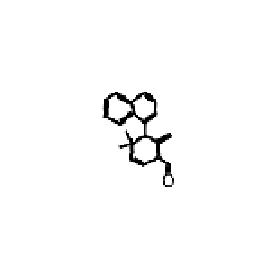 C=C1C(C=O)C=CC(C)(C)C1c1cccc2ccccc12